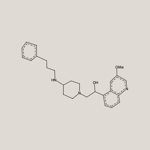 COc1cnc2cccc(C(O)CN3CCC(NCCCc4ccccc4)CC3)c2c1